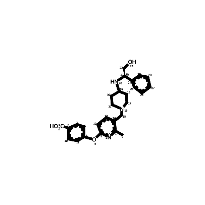 Cc1nc(Oc2ccc(C(=O)O)cc2)ccc1CN1CCC(N[C@@H](CO)c2ccccc2)CC1